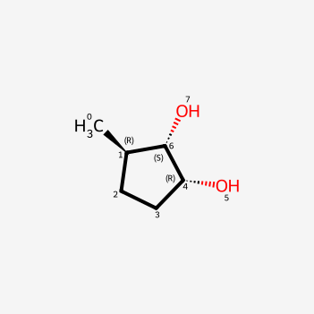 C[C@@H]1CC[C@@H](O)[C@H]1O